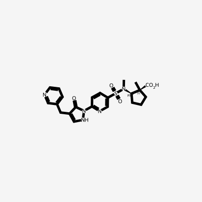 CN([C@@H]1CCC[C@]1(C)C(=O)O)S(=O)(=O)c1ccc(-n2[nH]cc(Cc3cccnc3)c2=O)nc1